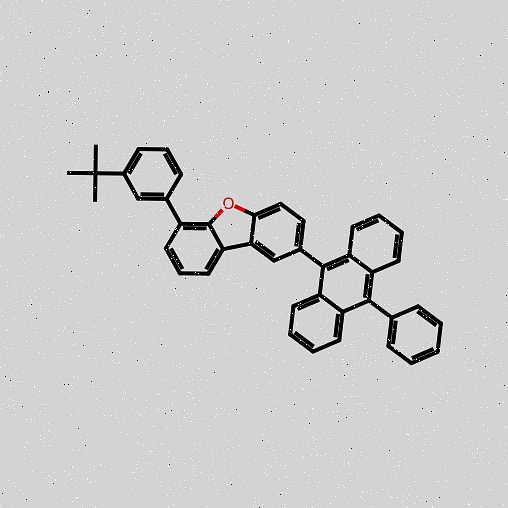 CC(C)(C)c1cccc(-c2cccc3c2oc2ccc(-c4c5ccccc5c(-c5ccccc5)c5ccccc45)cc23)c1